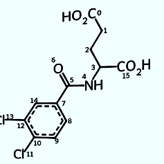 O=C(O)CCC(NC(=O)c1ccc(Cl)c(Cl)c1)C(=O)O